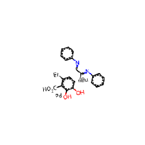 CCCCC(C=Nc1ccccc1)=Nc1ccccc1.CCc1ccc(O)c(O)c1C(=O)O.[Pd]